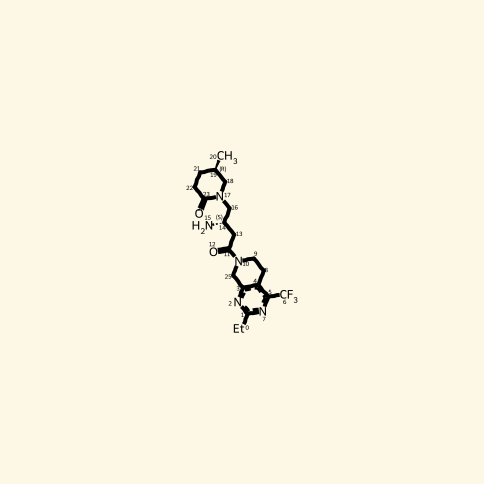 CCc1nc2c(c(C(F)(F)F)n1)CCN(C(=O)C[C@H](N)CN1C[C@H](C)CCC1=O)C2